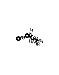 CC(C)C(=O)[C@@H](NC(=O)Cc1c[nH]c2ccc(OCc3ccccc3)cc12)C(C)C